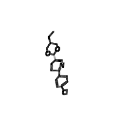 CC[C@H]1CO[C@H](c2ccc(-c3ccc(Cl)cc3)nc2)OC1